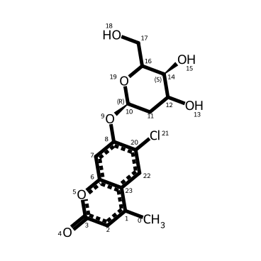 Cc1cc(=O)oc2cc(O[C@@H]3CC(O)[C@H](O)C(CO)O3)c(Cl)cc12